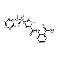 O=C(Nc1ccccc1C(=O)O)C1=CC(S(=O)(=O)Nc2ccccc2)=CC1